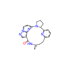 C[C@@H]1CCc2cccc(n2)C2CCCN2c2ccn3ncc(c3n2)C(=O)N1